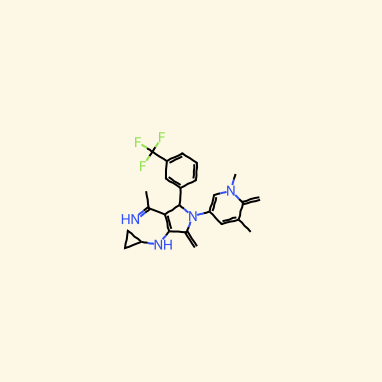 C=C1C(C)=CC(N2C(=C)C(NC3CC3)=C(C(C)=N)C2c2cccc(C(F)(F)F)c2)=CN1C